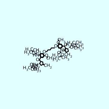 C=C1CC(C(=O)c2cc(OC)c(OCCCCCOc3cc(NC(=O)OC(C)(C)C)c(C(=O)C4CC(=C)C[C@H]4CO[Si](C)(C)C(C)(C)C)cc3OC)cc2NC(=O)OC(C)(C)C)[C@H](CO[Si](C)(C)C(C)(C)C)C1